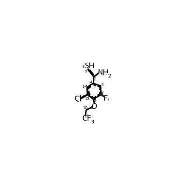 N/C(=C\S)c1cc(F)c(OCC(F)(F)F)c(Cl)c1